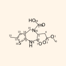 COC(=O)CC1C(=O)Nc2sc(C)cc2CN1C(=O)O